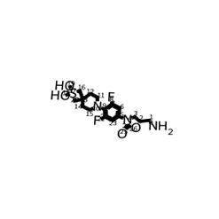 NCC1CN(c2cc(F)c(N3CCC4(CC3)CS(O)(O)C4)c(F)c2)C(=O)O1